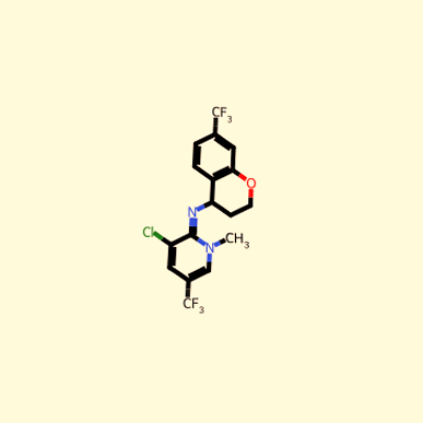 Cn1cc(C(F)(F)F)cc(Cl)/c1=N/C1CCOc2cc(C(F)(F)F)ccc21